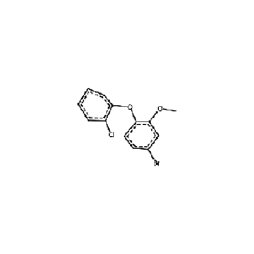 COc1cc(Br)ccc1Oc1ccccc1Cl